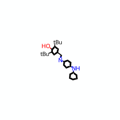 CC(C)(C)c1cc(C=Nc2ccc(Nc3ccccc3)cc2)cc(C(C)(C)C)c1O